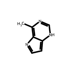 Cc1nc[nH]c2ccnc1-2